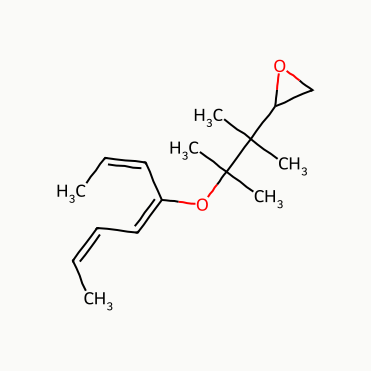 C\C=C/C=C(\C=C/C)OC(C)(C)C(C)(C)C1CO1